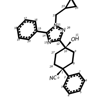 N#C[C@]1(c2ccccc2)CC[C@@](O)(c2nc(-c3ccccc3)n(CC3CC3)n2)CC1